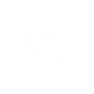 CN(C)CCOc1ncnc2[nH]cc(Br)c12